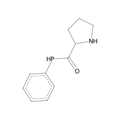 O=C(Pc1ccccc1)C1CCCN1